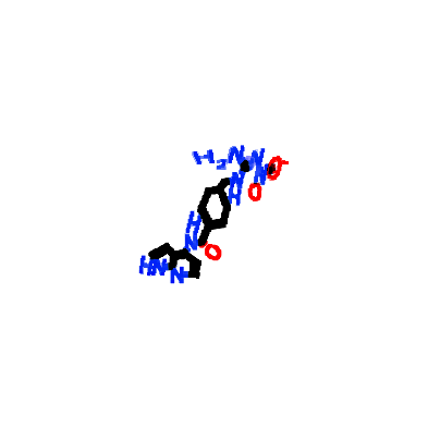 N/C(=N/[N+](=O)[O-])NCC1CCC(C(=O)Nc2ccnc3[nH]ccc23)CC1